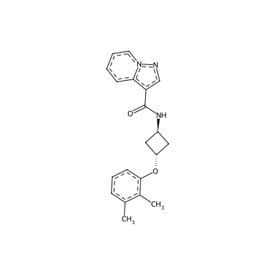 Cc1cccc(O[C@H]2C[C@H](NC(=O)c3cnn4ccccc34)C2)c1C